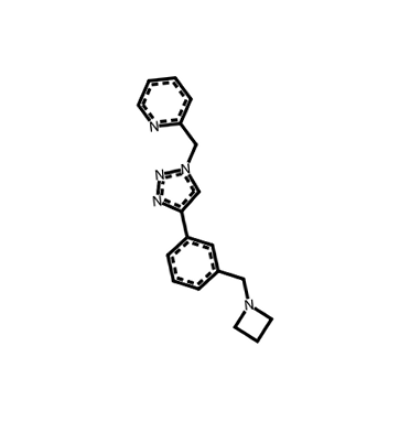 c1ccc(Cn2cc(-c3cccc(CN4CCC4)c3)nn2)nc1